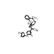 CC(c1ccccc1Cl)N1CC2CC1CN2C(=O)c1ccc(Oc2ccc(F)cc2)c(F)c1